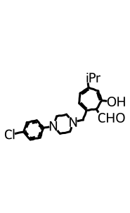 CC(C)C1=CC=C(CN2CCN(c3ccc(Cl)cc3)CC2)C(C=O)C(O)=C1